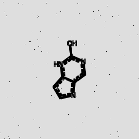 Oc1ncc2nccc-2[nH]1